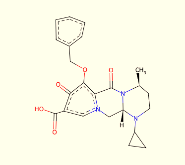 C[C@H]1CCN(C2CC2)[C@@H]2Cn3cc(C(=O)O)c(=O)c(OCc4ccccc4)c3C(=O)N12